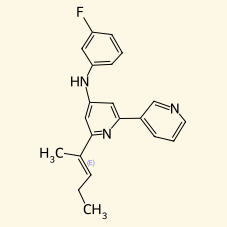 CC/C=C(\C)c1cc(Nc2cccc(F)c2)cc(-c2cccnc2)n1